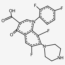 O=C(O)c1cn(-c2ccc(F)cc2F)c2c(F)c(N3CCNCC3)c(F)cc2c1=O